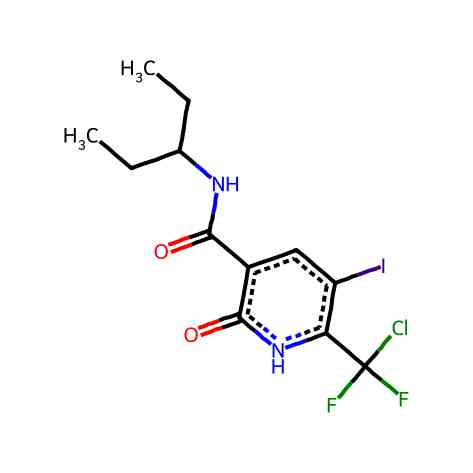 CCC(CC)NC(=O)c1cc(I)c(C(F)(F)Cl)[nH]c1=O